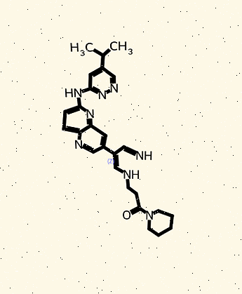 CC(C)c1cnnc(Nc2ccc3ncc(/C(C=N)=C/NCCC(=O)N4CCCCC4)cc3n2)c1